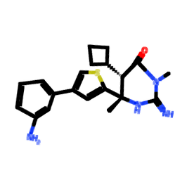 CN1C(=N)N[C@](C)(c2cc(-c3cccc(N)c3)cs2)[C@H](C2CCC2)C1=O